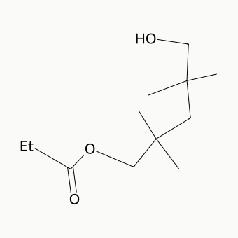 CCC(=O)OCC(C)(C)CC(C)(C)CO